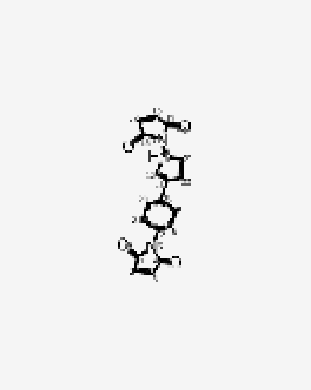 O=C1C=CC(=O)N1c1ccc(C2=C[SH](N3C(=O)C=CC3=O)C=C2)cc1